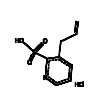 C=CCc1cccnc1S(=O)(=O)O.Cl